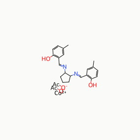 CC(=O)[O-].CC(=O)[O-].Cc1ccc(O)c(C=NC2CCCC2N=Cc2cc(C)ccc2O)c1.[Co+2]